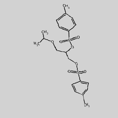 Cc1ccc(S(=O)(=O)OCC(COC(C)C)OS(=O)(=O)c2ccc(C)cc2)cc1